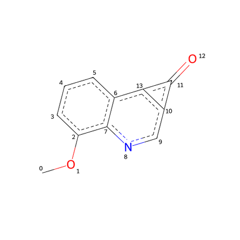 COc1cccc2c1ncc1c(=O)c12